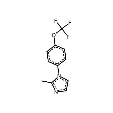 Cc1nccn1-c1ccc(OC(F)(F)F)cc1